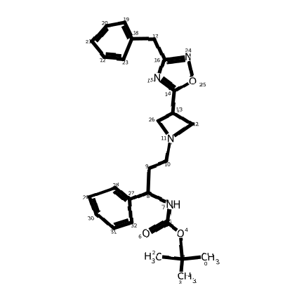 CC(C)(C)OC(=O)NC(CCN1CC(c2nc(Cc3ccccc3)no2)C1)c1ccccc1